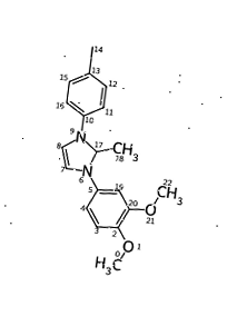 COc1ccc(N2C=CN(c3ccc(I)cc3)C2C)cc1OC